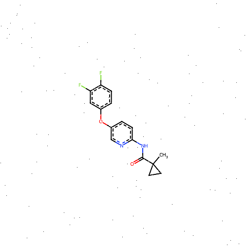 CC1(C(=O)Nc2ccc(Oc3ccc(F)c(F)c3)cn2)CC1